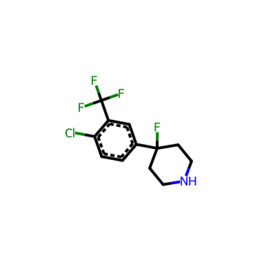 FC(F)(F)c1cc(C2(F)CCNCC2)ccc1Cl